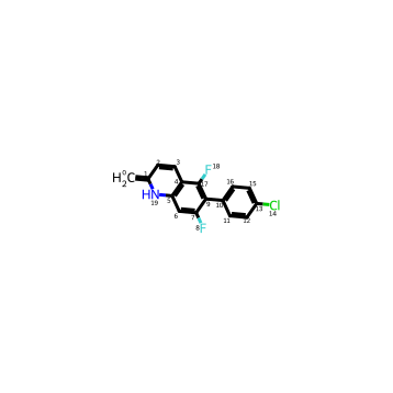 C=C1C=Cc2c(cc(F)c(-c3ccc(Cl)cc3)c2F)N1